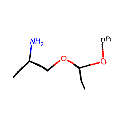 CCCOC(C)OCC(C)N